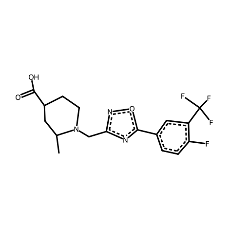 CC1CC(C(=O)O)CCN1Cc1noc(-c2ccc(F)c(C(F)(F)F)c2)n1